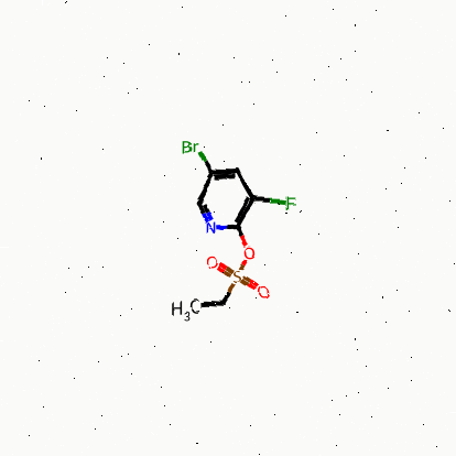 CCS(=O)(=O)Oc1ncc(Br)cc1F